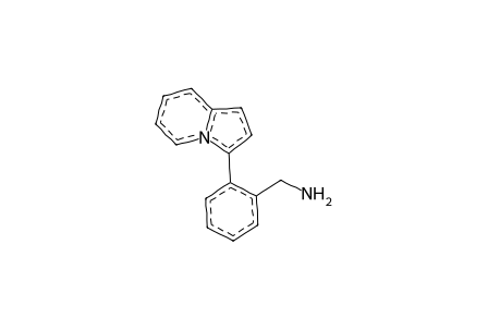 NCc1ccccc1-c1ccc2ccccn12